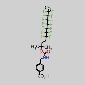 CC(C)(CCC(F)(F)C(F)(F)C(F)(F)C(F)(F)C(F)(F)C(F)(F)C(F)(F)C(F)(F)F)OC(=O)NCc1ccc(C(=O)O)cc1